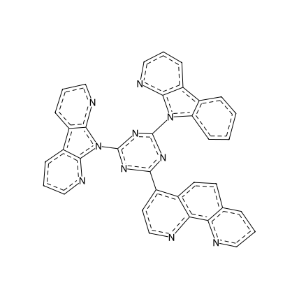 c1cnc2c(c1)ccc1c(-c3nc(-n4c5ccccc5c5cccnc54)nc(-n4c5ncccc5c5cccnc54)n3)ccnc12